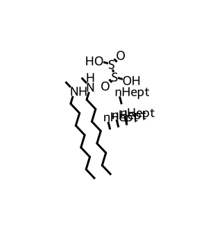 CCCCCCCC.CCCCCCCC.CCCCCCCC.CCCCCCCC.CCCCCCCCNC.CCCCCCCCNC.O=S(O)S(=O)O